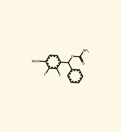 COc1ccc(C(OC(N)=O)c2ccccc2)c(F)c1F